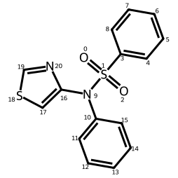 O=S(=O)(c1ccccc1)N(c1ccccc1)c1cscn1